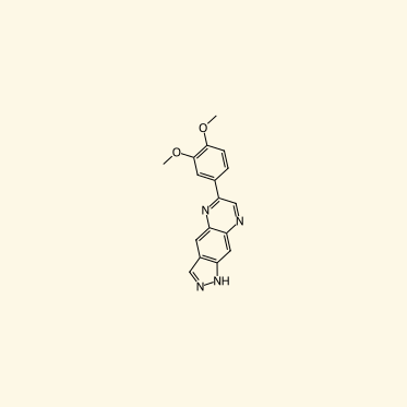 COc1ccc(-c2cnc3cc4[nH]ncc4cc3n2)cc1OC